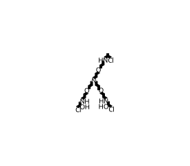 CC(CCl)CNCCCCOCCCCN(CCCCOCCCCNCC(O)CCl)CCCCOCCCCNCC(O)CCl